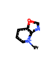 CC(C)[n+]1cccc2ocnc21